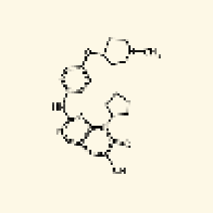 CN1CCC(Oc2ccc(Nc3ncc4cc(C#N)c(=O)n(C5CCCC5)c4n3)cc2)CC1